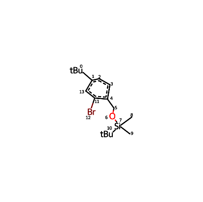 CC(C)(C)c1ccc(CO[Si](C)(C)C(C)(C)C)c(Br)c1